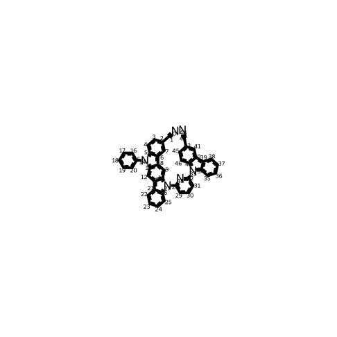 N#Cc1ccc2c(c1)c1cc3c(cc1n2-c1ccccc1)c1ccccc1n3-c1cccc(-n2c3ccccc3c3cc(C#N)ccc32)n1